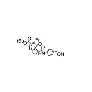 CC(C)[C@H](NC(=O)OC(C)(C)C)C(=O)N1CCC[C@H]1C(=O)Nc1ccc(CO)cc1